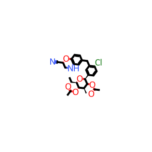 CC[C@H]1O[C@@H](c2ccc(Cl)c(Cc3ccc4c(c3)NCC(C#N)O4)c2)C(OC(C)=O)[C@@H](C)C1OC(C)=O